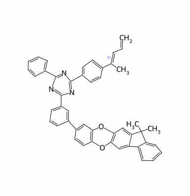 C=C/C=C(\C)c1ccc(-c2nc(-c3ccccc3)nc(-c3cccc(-c4ccc5c(c4)Oc4cc6c(cc4O5)-c4ccccc4C6(C)C)c3)n2)cc1